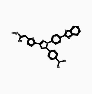 CCN(CC)c1ccc(C2CC(c3ccc(/C=C(\C#N)C(=O)O)o3)=NN2c2ccc(-c3nc4ccccc4o3)cc2)cc1